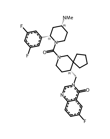 CN[C@@H]1CCN(C(=O)N2CC[C@@H](Cn3cnc4ccc(F)cc4c3=O)C3(CCCC3)C2)[C@H](c2cc(F)cc(F)c2)C1